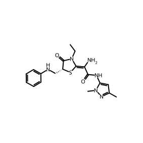 CCN1C(=O)[C@@H](CNc2ccccc2)S/C1=C(/N)C(=O)Nc1cc(C)nn1C